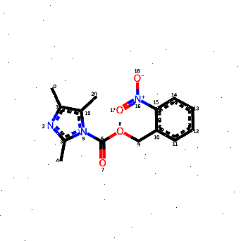 Cc1nc(C)n(C(=O)OCc2ccccc2[N+](=O)[O-])c1C